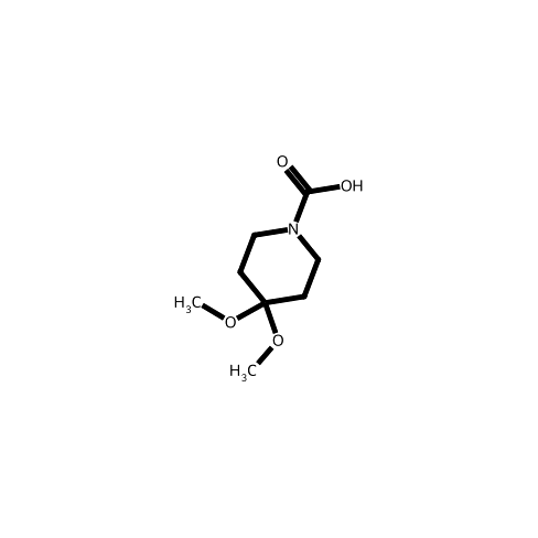 COC1(OC)CCN(C(=O)O)CC1